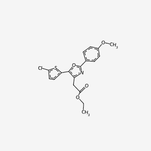 CCOC(=O)Cc1nc(-c2ccc(OC)cc2)oc1-c1ccc(Cl)s1